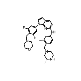 Cc1cc(Nc2ncc3ccn(-c4cc(F)c(CN5CCOCC5)c(F)c4)c3n2)ccc1CN1C[C@@H](C)N[C@@H](C)C1